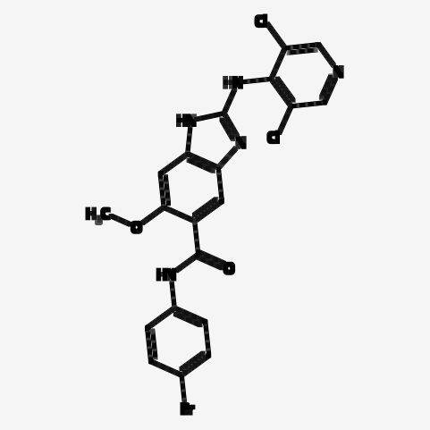 COc1cc2[nH]c(Nc3c(Cl)cncc3Cl)nc2cc1C(=O)Nc1ccc(Br)cc1